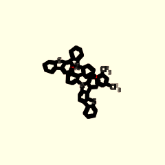 N#Cc1cccc(-n2c3ccccc3c3c4sc5ccccc5c4ccc32)c1-c1cc(-c2ccc(C(F)(F)F)cc2C(F)(F)F)ccc1-n1c2ccccc2c2c3sc4ccccc4c3ccc21